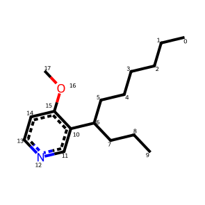 CCCCCCC(CCC)c1cnccc1OC